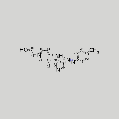 Cc1ccc(/N=N/c2cnn(Cc3ccc[n+](CCO)c3)c2N)cc1